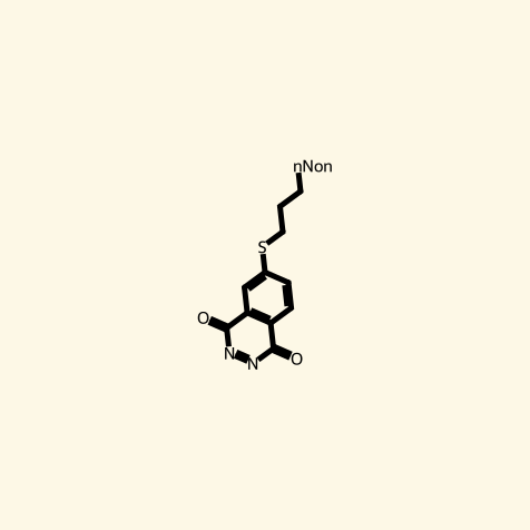 CCCCCCCCCCCCSc1ccc2c(c1)C(=O)N=NC2=O